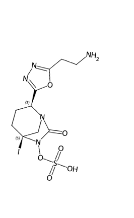 NCCc1nnc([C@@H]2CC[C@]3(I)CN2C(=O)N3OS(=O)(=O)O)o1